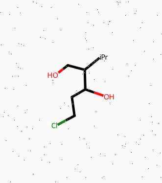 CC(C)C(CO)C(O)CCCl